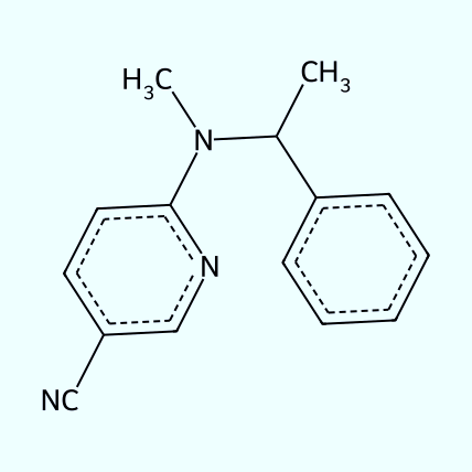 CC(c1ccccc1)N(C)c1ccc(C#N)cn1